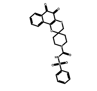 O=C1C(=O)c2ccccc2C2=C1SCC1(CCN(C(=O)NS(=O)(=O)c3ccccc3)CC1)O2